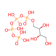 O=P(O)(O)OP(=O)(O)OP(=O)(O)OP(=O)(O)OC[C@@H](O)[C@H](O)CO